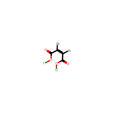 CC/C(C(=O)OCl)=C(\CC)C(=O)OCl